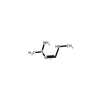 CN/C=N\N(C)N